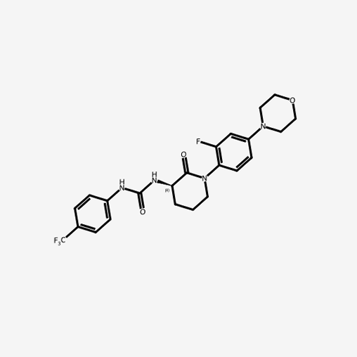 O=C(Nc1ccc(C(F)(F)F)cc1)N[C@@H]1CCCN(c2ccc(N3CCOCC3)cc2F)C1=O